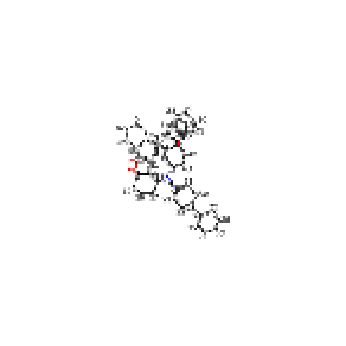 C1=Cc2c(-c3ccccc3)cc3c(oc4cccc(N(c5ccc(-c6ccccc6)cc5)c5ccc(-c6ccccc6)cc5)c43)c2CC1